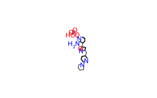 COP(=O)(O)OC[n+]1cccc(-c2cc(Cc3ccc(N4CCCCC4)nc3)no2)c1N